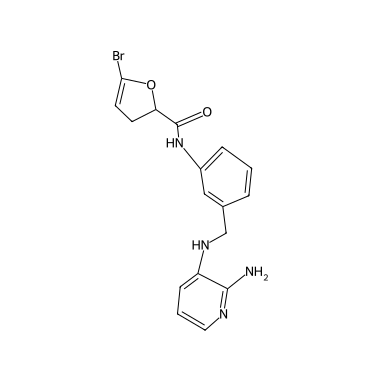 Nc1ncccc1NCc1cccc(NC(=O)C2CC=C(Br)O2)c1